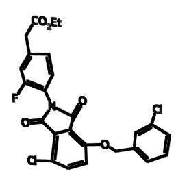 CCOC(=O)Cc1ccc(N2C(=O)c3c(Cl)ccc(OCc4cccc(Cl)c4)c3C2=O)c(F)c1